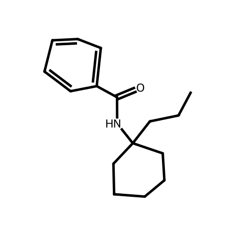 CCCC1(NC(=O)c2ccccc2)CCCCC1